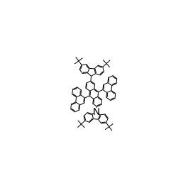 CC(C)(C)c1ccc2c(c1)-c1cc(C(C)(C)C)ccc1C2c1ccc2c(-c3cc4ccccc4c4ccccc34)c3cc(-n4c5ccc(C(C)(C)C)cc5c5cc(C(C)(C)C)ccc54)ccc3c(-c3cc4ccccc4c4ccccc34)c2c1